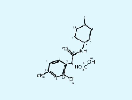 CC1CCC(NC(=O)Cc2ccc(Cl)cc2Cl)CC1.O=C(O)O